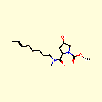 CC=CCCCCCN(C)C(=O)C1CC(O)CN1C(=O)OC(C)(C)C